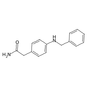 NC(=O)Cc1ccc(NCc2ccccc2)cc1